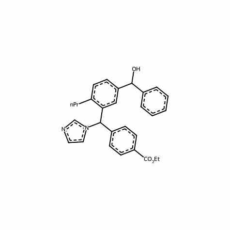 CCCc1ccc(C(O)c2ccccc2)cc1C(c1ccc(C(=O)OCC)cc1)n1ccnc1